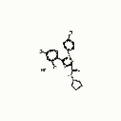 Cl.O=C(NN1CCCC1)c1nc(-c2ccc(Cl)cc2Cl)n(-c2ccc(Cl)cc2)n1